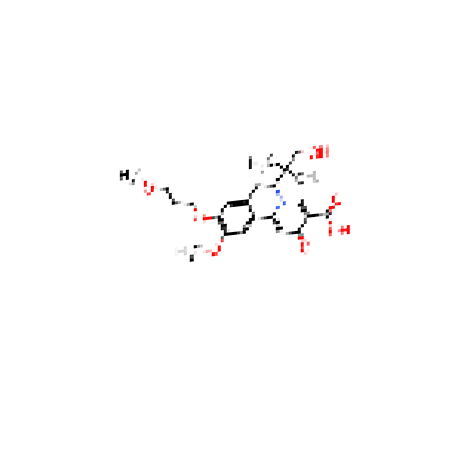 COCCCOc1cc2c(cc1OC)-c1cc(=O)c(C(=O)O)cn1C(C(C)(C)CO)C2